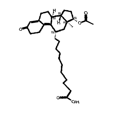 CC(=O)O[C@H]1CC[C@H]2[C@@H]3CCC4=CC(=O)CCC4=C3[C@@H](CCCCCCCCCCC(=O)O)C[C@]12C